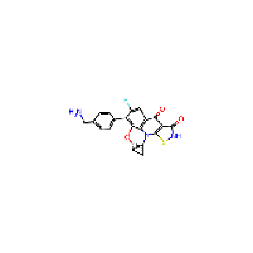 COc1c(-c2ccc(CN)cc2)c(F)cc2c(=O)c3c(=O)[nH]sc3n(C3CC3)c12